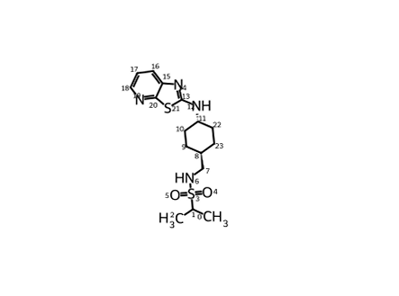 CC(C)S(=O)(=O)NC[C@H]1CC[C@H](Nc2nc3cccnc3s2)CC1